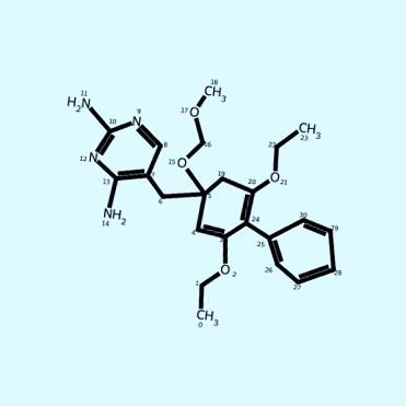 CCOC1=CC(Cc2cnc(N)nc2N)(OCOC)CC(OCC)=C1c1ccccc1